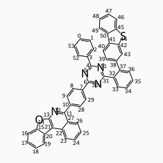 c1ccc(-c2nc(-c3ccc(-c4nc5oc6ccccc6c5c5ccccc45)cc3)nc(-c3ccccc3-c3ccc4c(c3)sc3ccccc34)n2)cc1